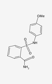 COc1ccc(NS(=O)(=O)c2ccccc2C(N)=O)cc1